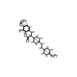 CCCOc1ccc2c(c1F)OC(=O)C(C1CCC(CCC3CCC(CCC)CC3)CC1)C2